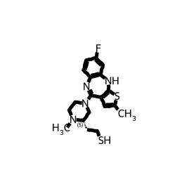 Cc1cc2c(s1)Nc1cc(F)ccc1N=C2N1CCN(C)[C@@H](CCS)C1